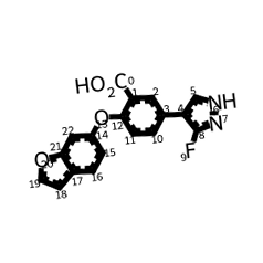 O=C(O)c1cc(-c2c[nH]nc2F)ccc1Oc1ccc2ccoc2c1